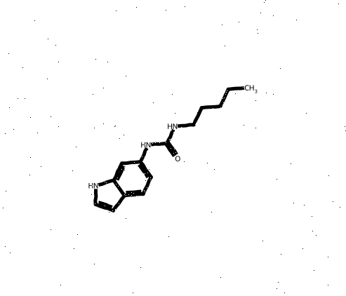 CCCCCNC(=O)Nc1ccc2cc[nH]c2c1